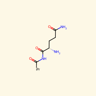 CC(C)C(=O)NC(=O)[C@@H](N)CCC(N)=O